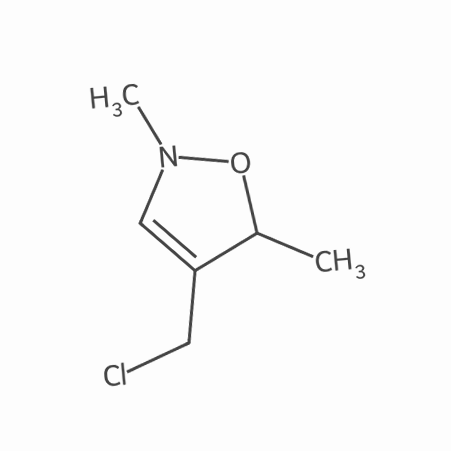 CC1ON(C)C=C1CCl